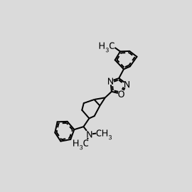 Cc1cccc(-c2noc(C3C4CCC(C(c5ccccc5)N(C)C)CC43)n2)c1